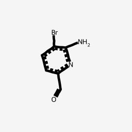 Nc1nc(C=O)ccc1Br